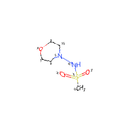 CS(=O)(=O)NN1CCOCC1